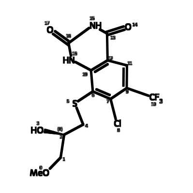 COC[C@@H](O)CSc1c(Cl)c(C(F)(F)F)cc2c(=O)[nH]c(=O)[nH]c12